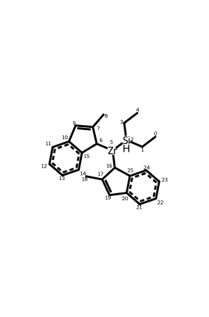 CC[SiH](CC)[Zr]([CH]1C(C)=Cc2ccccc21)[CH]1C(C)=Cc2ccccc21